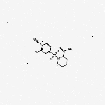 [C]#Cc1ccc(S(=O)(=O)N2CCCCC2C(=O)O)cc1Cl